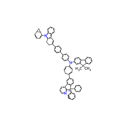 CC1(C)c2ccccc2-c2ccc(N(C3=CC=C(c4ccc5c(c4)-c4cccnc4[C@@]5(c4c#cccc4)c4ccccc4)CC=C3)c3ccc(-c4ccc(C5=Cc6c(n(C7=CC=CC8CC78)c7ccccc67)CC5)cc4)cc3)cc21